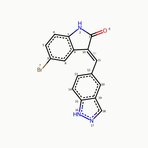 O=C1Nc2ccc(Br)cc2/C1=C\c1ccc2[nH]ncc2c1